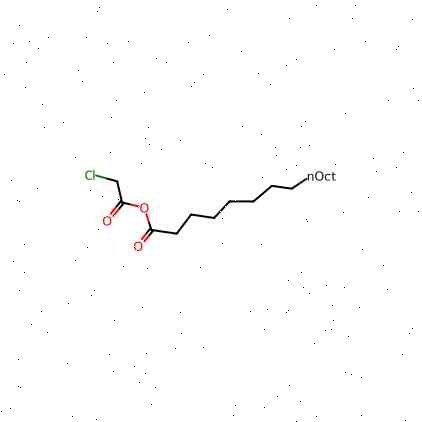 CCCCCCCCCCCCCCCC(=O)OC(=O)CCl